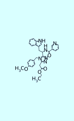 CCOC(=O)Cc1nnc(C(Cc2c[nH]c3ccccc23)NC(=O)c2cccnc2)n1Cc1ccc(OC)cc1